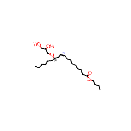 CCCCCC[C@H](C/C=C\CCCCCCCC(=O)OCCCC)OCC(O)CO